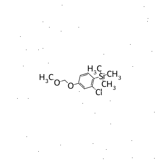 COCOc1ccc([Si](C)(C)C)c(Cl)c1